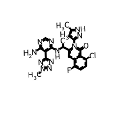 Cc1cc(-n2c(C(C)Nc3ncnc(N)c3-c3nnn(C)n3)cc3c(F)ccc(Cl)c3c2=O)n[nH]1